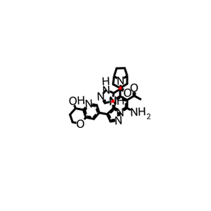 CC(=O)c1c(C2CC3CCC(C2)N3C(=O)C2NC=NN2)nc2c(-c3cnc4c(c3)OCCC4O)cnn2c1N